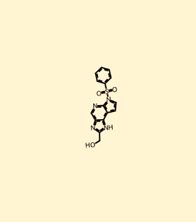 O=S(=O)(c1ccccc1)n1ccc2c3[nH]c(CO)nc3cnc21